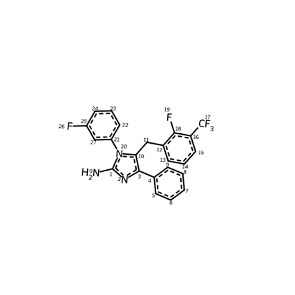 Nc1nc(-c2ccccc2)c(Cc2cccc(C(F)(F)F)c2F)n1-c1cccc(F)c1